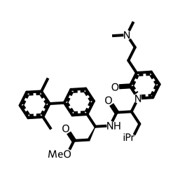 COC(=O)C[C@H](NC(=O)C(CC(C)C)n1cccc(CCN(C)C)c1=O)c1cccc(-c2c(C)cccc2C)c1